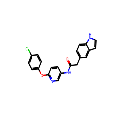 O=C(Cc1ccc2[nH]ccc2c1)Nc1ccc(Oc2ccc(Cl)cc2)nc1